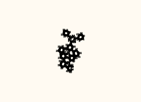 c1ccc(-c2nc(-c3ccccc3)nc(-c3cc(-c4ccccc4)c(-n4c5ccccc5c5c(-n6c7ccccc7c7ccccc76)cccc54)c(-c4ccccc4)c3)n2)cc1